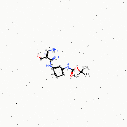 CC(C)(C)OC(=O)Nc1cccc(NC(=N)/C(C=O)=C\N)c1